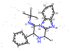 CC1NC(c2ccccc2)/C(=N/C(C)(C)C)n2c1nc1ccccc12